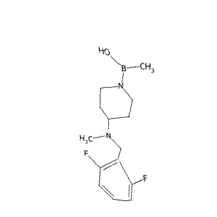 CB(O)N1CCC(N(C)Cc2c(F)cccc2F)CC1